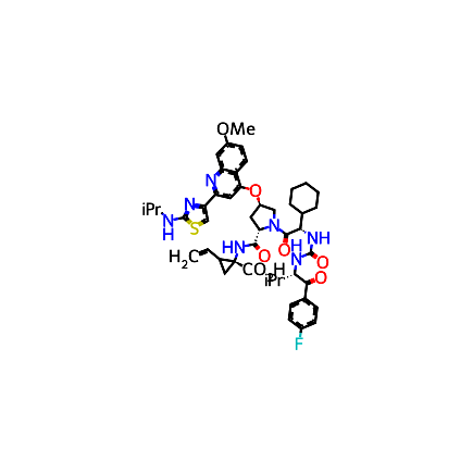 C=CC1C[C@]1(NC(=O)[C@@H]1C[C@@H](Oc2cc(-c3csc(NC(C)C)n3)nc3cc(OC)ccc23)CN1C(=O)[C@@H](NC(=O)N[C@H](C(=O)c1ccc(F)cc1)C(C)C)C1CCCCC1)C(=O)O